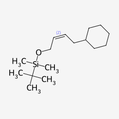 CC(C)(C)[Si](C)(C)OC/C=C\CC1CCCCC1